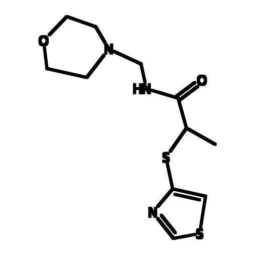 CC(Sc1cscn1)C(=O)NCN1CCOCC1